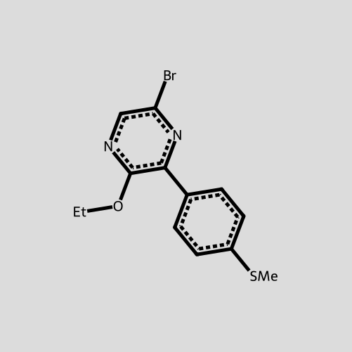 CCOc1ncc(Br)nc1-c1ccc(SC)cc1